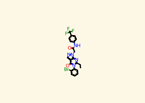 CCc1nc2c(cnn2CC(=O)Nc2ccc(C(F)(F)F)cc2)c(=O)n1-c1ccccc1Br